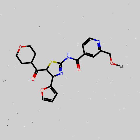 CCOCc1cc(C(=O)NC2=NC(c3ccco3)C(C(=O)C3CCOCC3)S2)ccn1